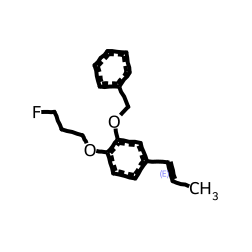 C/C=C/c1ccc(OCCCF)c(OCc2ccccc2)c1